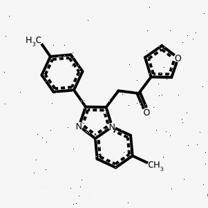 Cc1ccc(-c2nc3ccc(C)cn3c2CC(=O)c2ccoc2)cc1